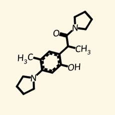 Cc1cc(C(C)C(=O)N2CCCC2)c(O)cc1N1CCCC1